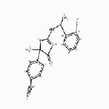 CC(NC1=NC(=O)C(C)(c2ccc(C#N)cc2)S1)c1ccccc1F